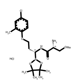 COC[C@@H](N)C(=O)N[C@@H](CCOc1ccc(Cl)cc1C)B1OC(C)(C)C(C)(C)O1.Cl